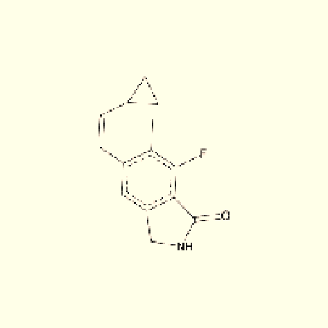 Cc1c(/C=C\C2CC2)cc2c(c1F)C(=O)NC2